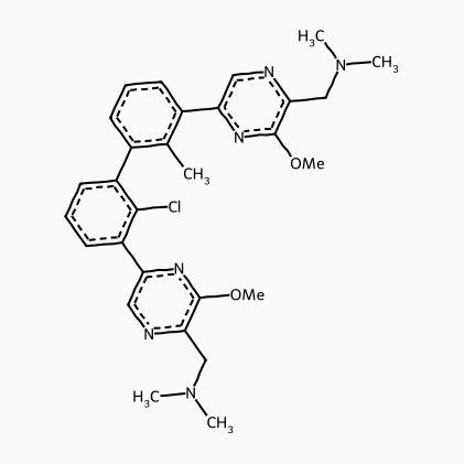 COc1nc(-c2cccc(-c3cccc(-c4cnc(CN(C)C)c(OC)n4)c3Cl)c2C)cnc1CN(C)C